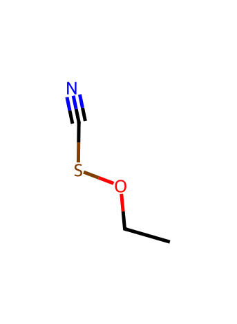 CCOSC#N